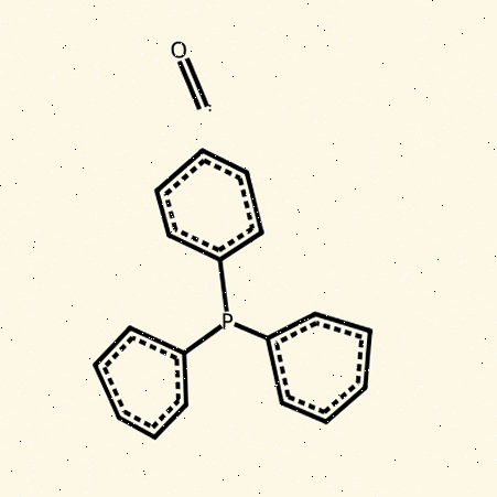 [C]=O.c1ccc(P(c2ccccc2)c2ccccc2)cc1